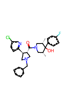 C[C@@H]1CN(C(=O)[C@@H]2CN(Cc3ccccc3)C[C@H]2c2ccc(Cl)cn2)C[C@H](C)C1(O)c1ccc(F)cc1